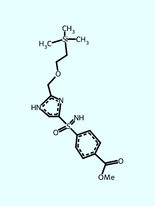 COC(=O)c1ccc(S(=N)(=O)c2c[nH]c(COCC[Si](C)(C)C)n2)cc1